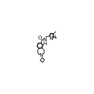 Cc1cc(CNC(=O)c2ccc3c(c2)CCN(C2CCC2)CC3)nn1C